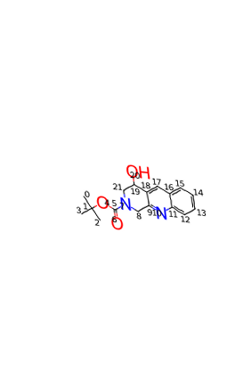 CC(C)(C)OC(=O)N1Cc2nc3ccccc3cc2C(O)C1